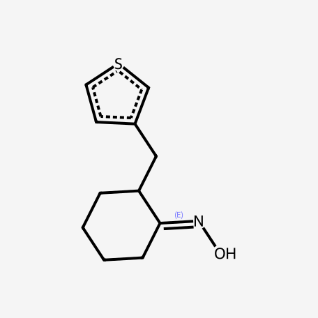 O/N=C1\CCCCC1Cc1ccsc1